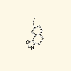 CCc1ccc2ccc3ncoc3c2c1